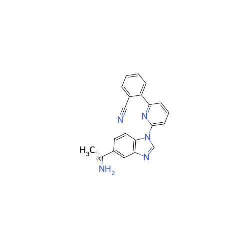 C[C@@H](N)c1ccc2c(c1)ncn2-c1cccc(-c2ccccc2C#N)n1